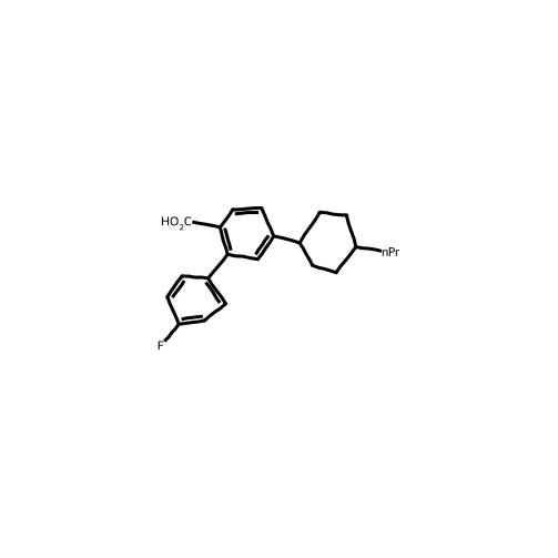 CCCC1CCC(c2ccc(C(=O)O)c(-c3ccc(F)cc3)c2)CC1